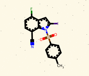 Cc1ccc(S(=O)(=O)n2c(I)cc3c(F)ccc(C#N)c32)cc1